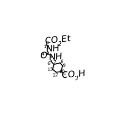 CCOC(=O)CNC(=O)NCC1CCC(C(=O)O)CC1